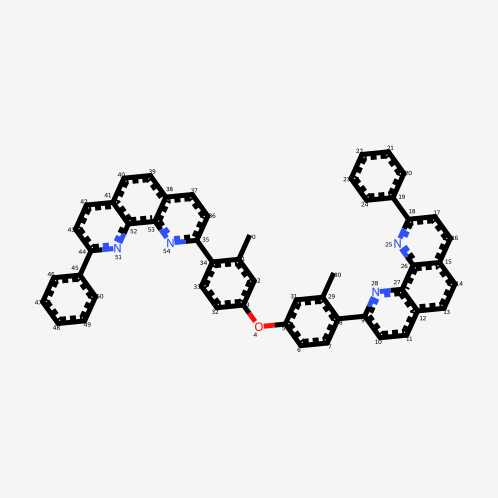 Cc1cc(Oc2ccc(-c3ccc4ccc5ccc(-c6ccccc6)nc5c4n3)c(C)c2)ccc1-c1ccc2ccc3ccc(-c4ccccc4)nc3c2n1